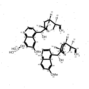 C=C[C@H]1C[N@]2CC[C@H]1C[C@H]2[C@H](O)c1ccnc2ccc(OC)cc12.C=C[C@H]1C[N@]2CC[C@H]1C[C@H]2[C@H](O)c1ccnc2ccc(OC)cc12.Cl.O=S(=O)(O)O